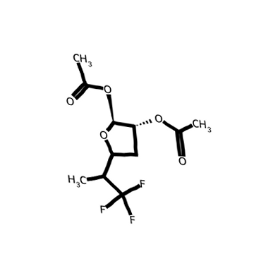 CC(=O)O[C@@H]1OC(C(C)C(F)(F)F)C[C@H]1OC(C)=O